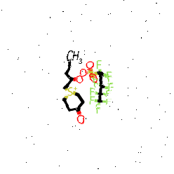 CCCC(=O)C[S+]1CCC(=O)CC1.O=S(=O)([O-])C(F)(F)C(F)(F)C(F)(F)C(F)(F)F